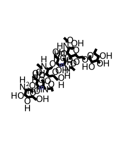 CC(=O)N/C(=C(\O)C(CCO)OC1OC(CO)C(O)C(O)C1N)C(O)OC1C(CO)OC(OC(CCO)/C(O)=C(/NC(C)=O)C(O)OC2C(O)C(NC(C)=O)C(O)OC2C(O)COC2OC(C)C(O)C(O)C2O)C(NC(C)=O)C1O